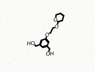 OCc1cc(CO)cc(OCCOC2CCCCO2)c1